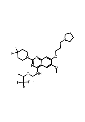 COc1cc2c(N[C@H](C)O[C@H](C)C(F)(F)F)nc(N3CCC(F)(F)CC3)nc2cc1OCCCN1CCCC1